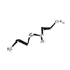 C/C=C/S[S+]([O-])/C=C/C